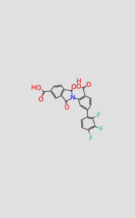 O=C(O)c1ccc2c(c1)C(=O)N(c1cc(-c3ccc(F)c(F)c3F)ccc1C(=O)O)C2=O